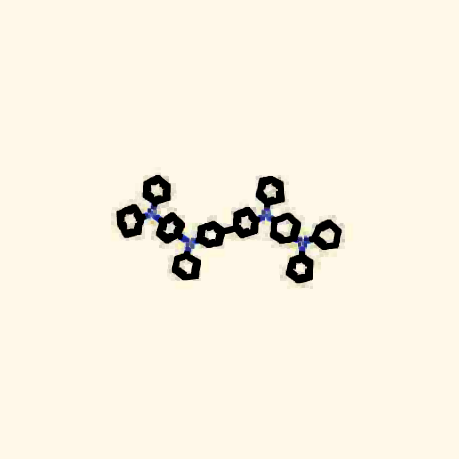 C1=CCC(N(c2ccc(-c3ccc(N(c4ccccc4)C4C=CC(N(C5=CCCC=C5)c5ccccc5)=CC4)cc3)cc2)c2ccc(N(c3ccccc3)c3ccccc3)cc2)C=C1